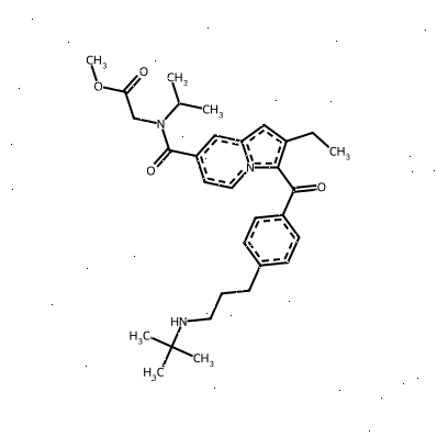 CCc1cc2cc(C(=O)N(CC(=O)OC)C(C)C)ccn2c1C(=O)c1ccc(CCCNC(C)(C)C)cc1